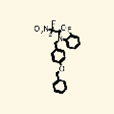 O=C(N(Cc1ccc(OCc2ccccc2)cc1)c1ccccc1F)C(F)(F)[N+](=O)[O-]